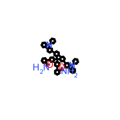 NC(=O)c1ccccc1-c1ccc(C2(c3ccc(-c4ccccc4C(N)=O)cc3)c3cc(-c4ccc5c6ccccc6n(-c6ccccc6)c5c4)ccc3-c3ccc(-c4ccc5c6ccccc6n(-c6ccccc6)c5c4)cc32)cc1